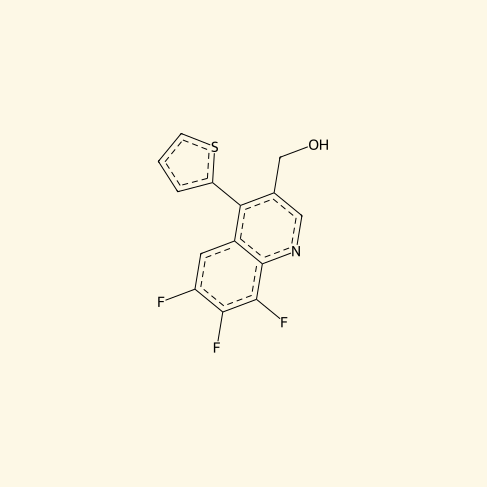 OCc1cnc2c(F)c(F)c(F)cc2c1-c1cccs1